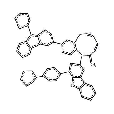 C=C1/C=C\C=C/Cc2cc(-c3ccc4c(c3)c3ccccc3n4-c3ccccc3)ccc2N1c1cc(-c2ccc(-c3ccccc3)cc2)c2sc3ccccc3c2c1